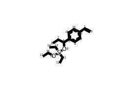 C=Cc1ccc(C(CC)O[Si](CC)(CC)OCC)cc1